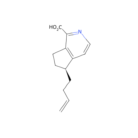 C=CCC[C@H]1CCc2c1ccnc2C(=O)O